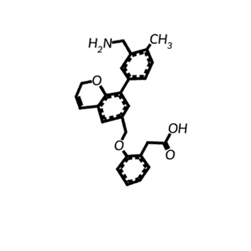 Cc1ccc(-c2cc(COc3ccccc3CC(=O)O)cc3c2OCC=C3)cc1CN